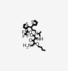 CCCCO/C(=C/N)C(=O)C(=N)C(=O)N(CC(OC(=O)C(F)(F)F)C(c1cccs1)c1cccs1)C(C)C